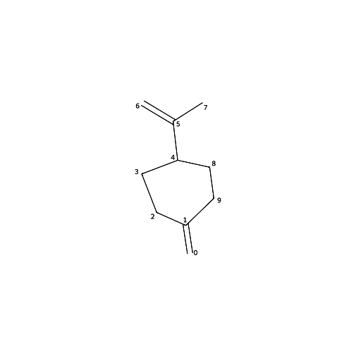 C=C1CCC(C(=C)C)CC1